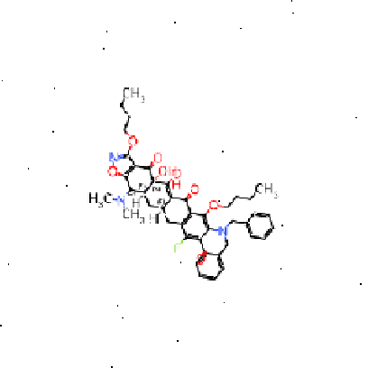 CCCCOc1noc2c1C(=O)[C@@]1(O)C(O)=C3C(=O)c4c(c(F)c(C=O)c(N(Cc5ccccc5)Cc5ccccc5)c4OCCCC)C[C@H]3C[C@H]1[C@@H]2N(C)C